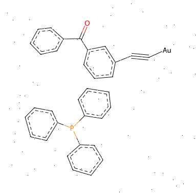 O=C(c1ccccc1)c1cccc(C#[C][Au])c1.c1ccc(P(c2ccccc2)c2ccccc2)cc1